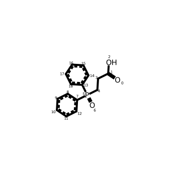 O=C(O)CCP(=O)(c1ccccc1)c1ccccc1